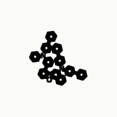 c1ccc(-c2ccc(N(c3ccccc3)c3cccc(-c4cccc5oc6c7ccccc7c(N(c7ccc(-c8ccccc8)cc7)c7ccc(-c8ccccc8)cc7)cc6c45)c3)cc2)cc1